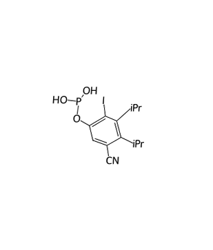 CC(C)c1c(C#N)cc(OP(O)O)c(I)c1C(C)C